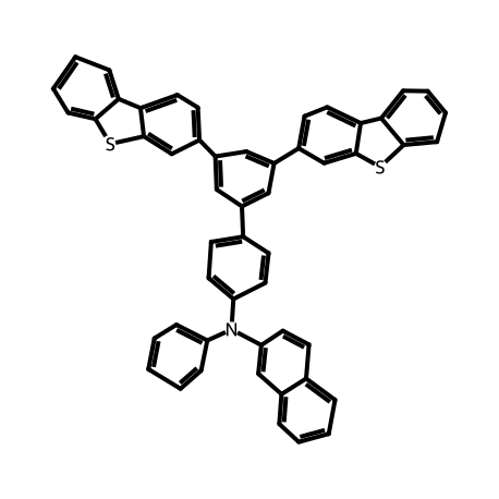 c1ccc(N(c2ccc(-c3cc(-c4ccc5c(c4)sc4ccccc45)cc(-c4ccc5c(c4)sc4ccccc45)c3)cc2)c2ccc3ccccc3c2)cc1